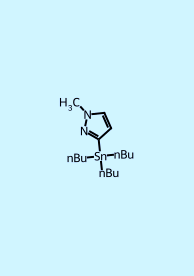 CCC[CH2][Sn]([CH2]CCC)([CH2]CCC)[c]1ccn(C)n1